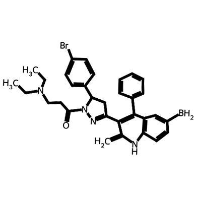 Bc1ccc2c(c1)C(c1ccccc1)=C(C1=NN(C(=O)CCN(CC)CC)C(c3ccc(Br)cc3)C1)C(=C)N2